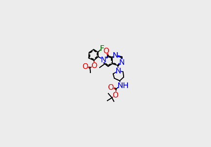 CC(=O)Oc1cccc(F)c1-n1c(C)cc2c(N3CCC(NC(=O)OC(C)(C)C)CC3)ncnc2c1=O